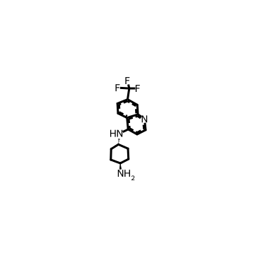 N[C@H]1CC[C@H](Nc2ccnc3cc(C(F)(F)F)ccc23)CC1